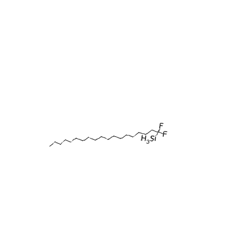 CCCCCCCCCCCCCCCCCCC(F)(F)[SiH3]